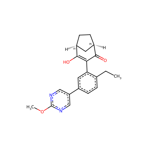 CCc1ccc(-c2cnc(OC)nc2)cc1C1=C(O)[C@H]2CC[C@H](C2)C1=O